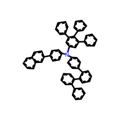 c1ccc(-c2ccccc2-c2ccccc2-c2ccc(N(c3ccc(-c4ccc5ccccc5c4)cc3)c3cc(-c4ccccc4)c(-c4ccccc4)c(-c4ccccc4)c3)cc2)cc1